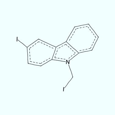 ICn1c2ccccc2c2cc(I)ccc21